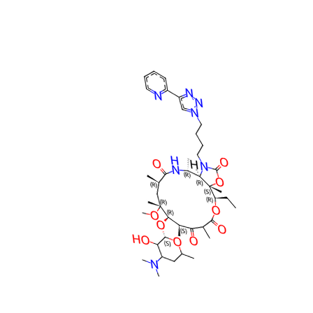 CC[C@H]1OC(=O)C(C)C(=O)[C@@H](C)[C@@H](O[C@@H]2OC(C)CC(N(C)C)C2O)[C@](C)(OC)C[C@@H](C)C(=O)N[C@H](C)[C@H]2N(CCCCn3cc(-c4ccccn4)nn3)C(=O)O[C@]12C